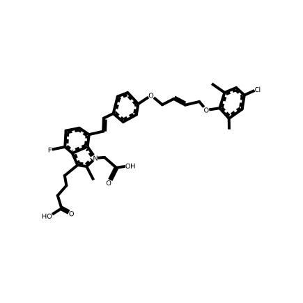 Cc1cc(Cl)cc(C)c1OC/C=C/COc1ccc(/C=C/c2ccc(F)c3c(CCCC(=O)O)c(C)n(CC(=O)O)c23)cc1